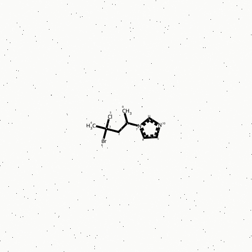 CC(CC(C)(Cl)Br)n1ccnc1